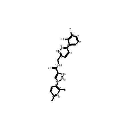 Cc1ccc(-n2cc(C(=O)NCc3ccc(-c4cccc(F)c4F)nn3)nn2)c(C)n1